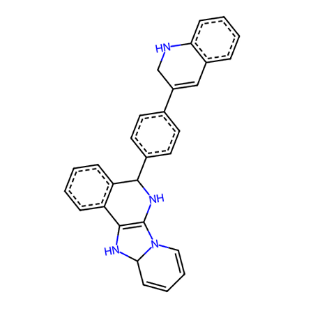 C1=CC2NC3=C(NC(c4ccc(C5=Cc6ccccc6NC5)cc4)c4ccccc43)N2C=C1